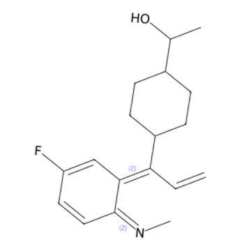 C=C/C(=C1/C=C(F)C=C/C1=N/C)C1CCC(C(C)O)CC1